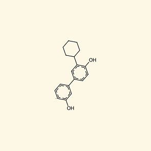 Oc1[c]ccc(-c2ccc(O)c(C3CCCCC3)c2)c1